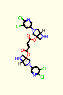 O=C(/C=C/C(=O)O[C@]12CN[C@H]1CN(c1cnc(Cl)c(Cl)c1)C2)O[C@]12CN[C@H]1CN(c1cnc(Cl)c(Cl)c1)C2